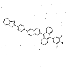 Fc1cc(-c2c3ccccc3c(-c3ccc4cc(-c5ccc(-c6nc7ccccc7s6)cc5)ccc4c3)c3ccccc23)cc(F)c1F